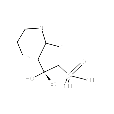 CC[C@](O)(CS(C)(=N)=O)[C@@H]1CCCNC1C